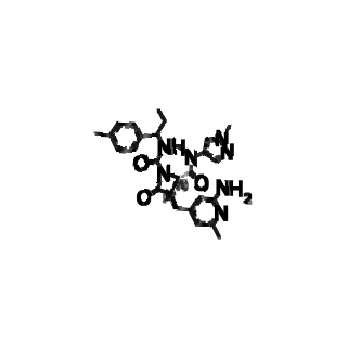 CCC(NC(=O)N1C(=O)[C@H](Cc2cc(C)nc(N)c2)[C@H]1C(=O)N(C)c1cnn(C)c1)c1ccc(C)cc1